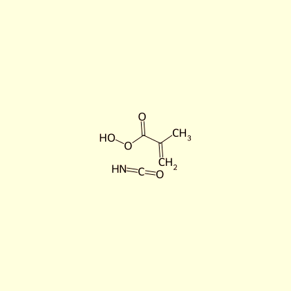 C=C(C)C(=O)OO.N=C=O